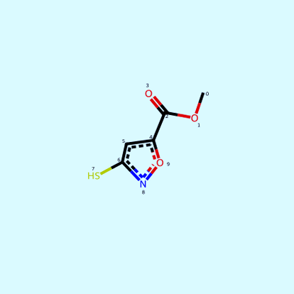 COC(=O)c1cc(S)no1